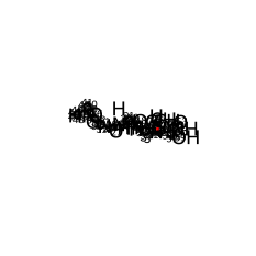 CC(C)(C)[Si](C)(C)O[C@H](CNCc1ccc(NC(=O)c2cccc(CNC(=O)CCN3CCC(OC(=O)Nc4ccccc4-c4ccccc4)CC3)c2)cc1)c1ccc(O)c2[nH]c(=O)ccc12